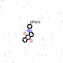 CCCCCc1ccc(Nc2cccc3c2C(=O)c2ccccc2C3=O)cc1